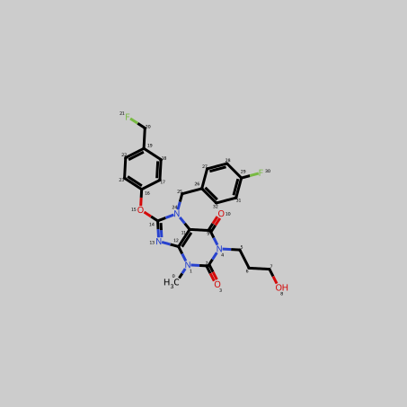 Cn1c(=O)n(CCCO)c(=O)c2c1nc(Oc1ccc(CF)cc1)n2Cc1ccc(F)cc1